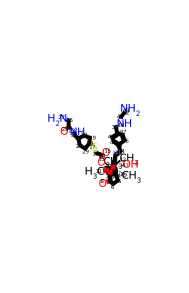 C[C@@H]1CC[C@@]23CCC(=O)C2[C@]1(C)[C@H](OC(=O)CSC1CCC(CNC(=O)CN)CC1)C[C@](C)(/C=C/c1ccc(CNCCN)cc1)[C@@H](O)[C@@H]3C